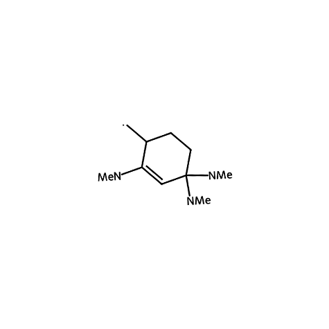 [CH2]C1CCC(NC)(NC)C=C1NC